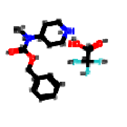 CCN(C(=O)OCc1ccccc1)C1CCNCC1.O=C(O)C(F)(F)F